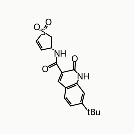 CC(C)(C)c1ccc2cc(C(=O)N[C@@H]3C=CS(=O)(=O)C3)c(=O)[nH]c2c1